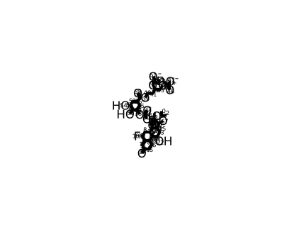 CC1(C)O[C@@H]2CC3C4C[C@H](F)C5=CC(=O)C=C[C@]5(C)[C@@]4(F)[C@@H](O)C[C@]3(C)[C@]2(C(=O)COC(=O)Oc2cc(C(=O)OCCC(CO[N+](=O)[O-])O[N+](=O)[O-])cc(O)c2O)O1